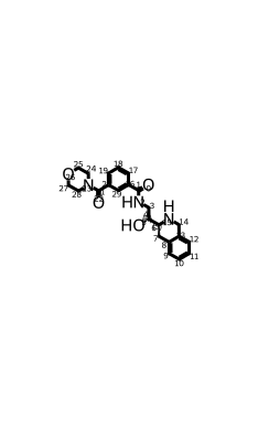 O=C(NC[C@@H](O)[C@@H]1Cc2ccccc2CN1)c1cccc(C(=O)N2CCOCC2)c1